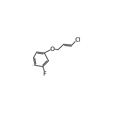 Fc1[c]ccc(OCC=CCl)c1